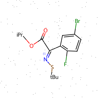 CC(C)OC(=O)/C(=N/SC(C)(C)C)c1cc(Br)ccc1F